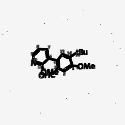 COc1cc(C=O)c(-c2cccnc2OC)cc1C(C)(C)C